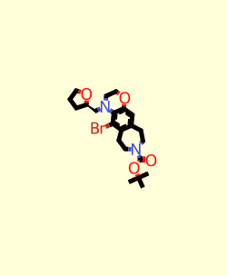 CC(C)(C)OC(=O)N1CCc2cc3c(c(Br)c2CC1)N(C[C@H]1CCCO1)CCO3